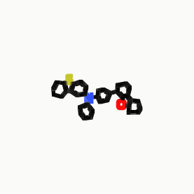 C1=Cc2sc3ccc(N(c4ccccc4)c4ccc(-c5cccc6c5oc5ccccc56)cc4)cc3c2CC1